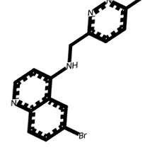 Cc1ccc(CNc2ccnc3ccc(Br)cc23)nn1